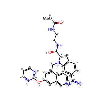 COC(=O)NCCNC(=O)c1cc2ccc(C(=N)N)cc2n1Cc1cc(Oc2ncccn2)cc2ccccc12